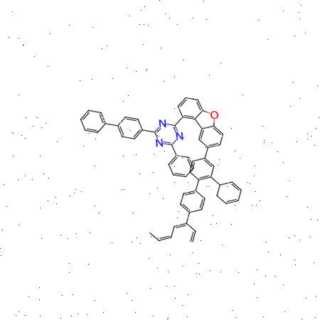 C=C/C(=C\C=C/C)c1ccc(-c2ccc(-c3ccc4oc5cccc(-c6nc(-c7ccccc7)nc(-c7ccc(-c8ccccc8)cc7)n6)c5c4c3)cc2C2C=CC=CC2)cc1